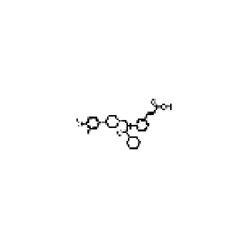 COc1ccc([C@H]2CC[C@H](CN(C(=O)C3CCCCC3)c3cccc(/C=C/C(=O)O)c3)CC2)cc1C